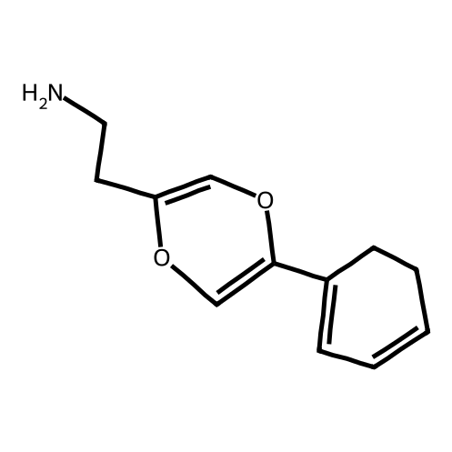 NCCC1=COC(C2=CC=CCC2)=CO1